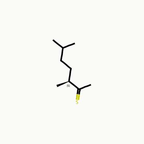 CC(=S)[C@@H](C)CCC(C)C